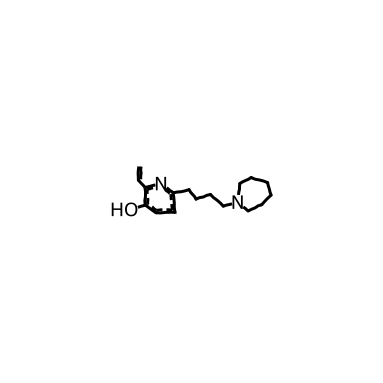 C=Cc1nc(CCCCN2CCCCCC2)ccc1O